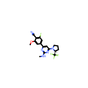 CNc1nc(-c2cc(F)c(C#N)c(OC)c2)cc(N2CCC[C@H]2C(F)(F)F)n1